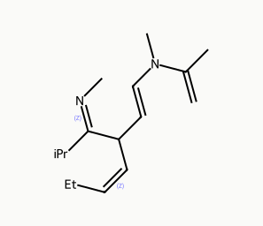 C=C(C)N(C)C=CC(/C=C\CC)/C(=N\C)C(C)C